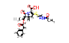 CC(=O)N/C=C/SC1=C(C(=O)O)N2C(=O)[C@H]([C@H](C)OC(=O)Cc3ccccc3)[C@H]2C1